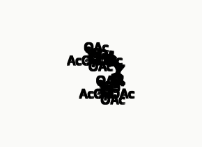 CC(=O)OC[C@H]1O[C@H](Oc2ccc(C3CC3c3ccc(O[C@H]4O[C@H](COC(C)=O)[C@@H](OC(C)=O)[C@H](OC(C)=O)[C@]4(C)OC(C)=O)c(C)c3)cc2C)[C@](C)(OC(C)=O)[C@@H](OC(C)=O)[C@@H]1OC(C)=O